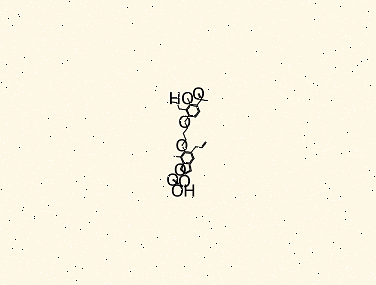 C=CCc1cc2cc(OC(=O)O)oc2c(C)c1OCCCOc1ccc(C(C)=O)c(O)c1CCC